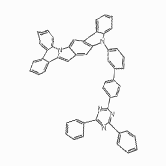 c1ccc(-c2nc(-c3ccccc3)nc(-c3ccc(-c4cccc(-n5c6ccccc6c6cc7c(cc65)cc5c6ccccc6c6ccccc6n75)c4)cc3)n2)cc1